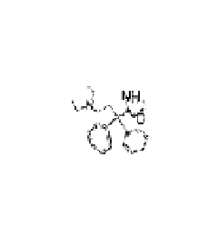 CCN(CC)CCC(C(N)=O)(c1ccccc1)c1ccccc1